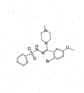 COc1ccc(Br)c(C(=NNS(=O)(=O)c2ccccc2)N2CCN(C)CC2)c1